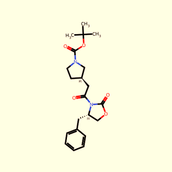 CC(C)(C)OC(=O)N1CC[C@H](CC(=O)N2C(=O)OC[C@@H]2Cc2ccccc2)C1